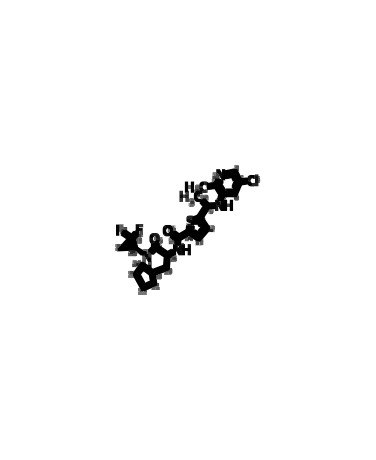 Cc1ncc(Cl)cc1NC(C)c1ccc(C(=O)NC(CC2CCCC2)C(=O)N[C@H]2CC2(F)F)s1